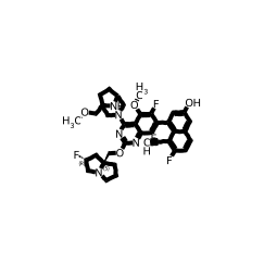 C#Cc1c(F)ccc2cc(O)cc(-c3c(F)c(OC)c4c(N5CC6CCC(COC)(C5)N6)nc(OC[C@@]56CCCN5C[C@H](F)C6)nc4c3F)c12